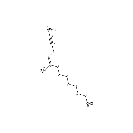 CCCCCC#CCC=C(CCCCCCCC=O)[N+](=O)[O-]